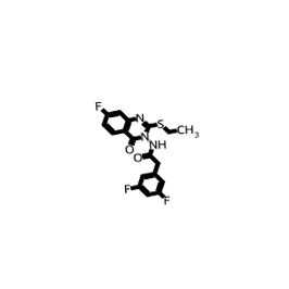 CCSc1nc2cc(F)ccc2c(=O)n1NC(=O)Cc1cc(F)cc(F)c1